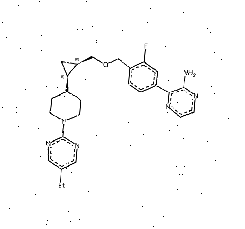 CCc1cnc(N2CCC([C@H]3C[C@H]3COCc3ccc(-c4nccnc4N)cc3F)CC2)nc1